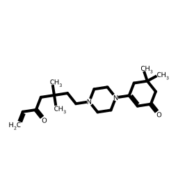 C=CC(=O)CC(C)(C)CCN1CCN(C2=CC(=O)CC(C)(C)C2)CC1